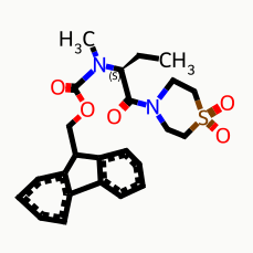 CC[C@@H](C(=O)N1CCS(=O)(=O)CC1)N(C)C(=O)OCC1c2ccccc2-c2ccccc21